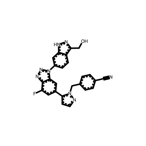 N#Cc1ccc(Cn2nccc2-c2cc(F)c3nnn(-c4ccc5c(CO)n[nH]c5c4)c3c2)cc1